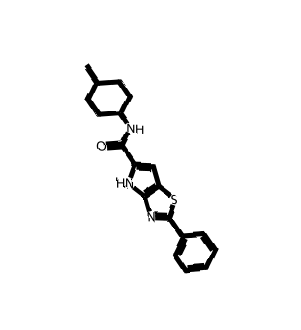 CC1CCC(NC(=O)c2cc3sc(-c4ccccc4)nc3[nH]2)CC1